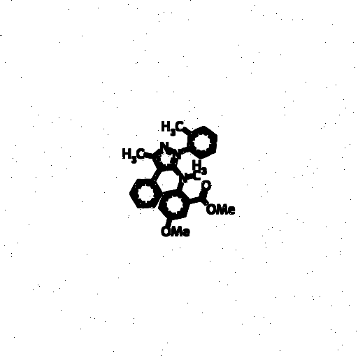 COC(=O)c1cc(OC)ccc1N(C)c1c(-c2ccccc2)c(C)nn1-c1ccccc1C